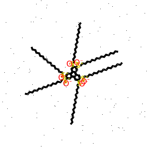 CCCCCCCCCCCCCCCCC[S+]([O-])c1cc2c3cc([S+]([O-])CCCCCCCCCCCCCCCCC)c([S+]([O-])CCCCCCCCCCCCCCCCC)cc3c3cc([S+]([O-])CCCCCCCCCCCCCCCCC)c([S+]([O-])CCCCCCCCCCCCCCCCC)cc3c2cc1[S+]([O-])CCCCCCCCCCCCCCCCC